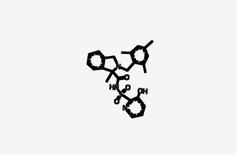 Cc1cc(C)c(CN2Cc3ccccc3C2(C)C(=O)NS(=O)(=O)c2ncccc2O)c(C)c1